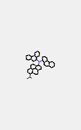 CC(C)c1ccc2ccc3c(N(c4cccc5c4ccc4ccccc45)c4cc5ccccc5c5ccccc45)ccc4ccc1c2c43